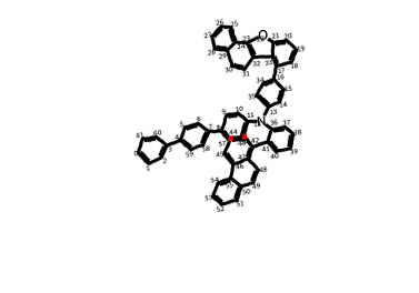 c1ccc(-c2ccc(-c3ccc(N(c4ccc(-c5cccc6oc7c8ccccc8ccc7c56)cc4)c4ccccc4-c4cccc5c4ccc4ccccc45)cc3)cc2)cc1